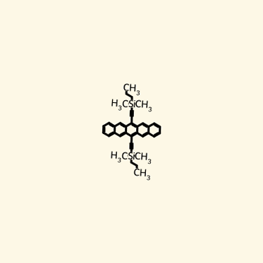 CCC[Si](C)(C)C#Cc1c2cc3ccccc3cc2c(C#C[Si](C)(C)CCC)c2cc3ccccc3cc12